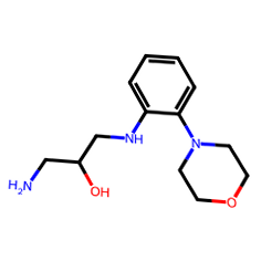 NCC(O)CNc1ccccc1N1CCOCC1